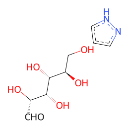 O=C[C@H](O)[C@@H](O)[C@H](O)[C@H](O)CO.c1cn[nH]c1